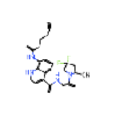 C#CCCCC(=C)Nc1cccc2c1NCC=C2C(=C)NCC(=C)N1CC(F)(F)CC1C#N